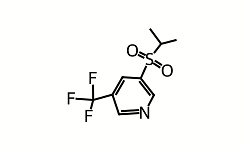 CC(C)S(=O)(=O)c1cncc(C(F)(F)F)c1